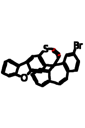 Brc1ccc2c(c1)C1(c3ccccc3C=C2)c2ccccc2Sc2cc3c(cc21)oc1ccccc13